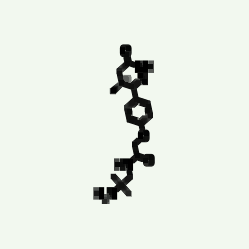 C[C@H]1CC(=O)NN=C1c1ccc(OCC(=O)NCC(C)(C)N)cc1